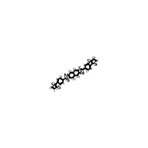 c1cc2sc3cc(-c4nc5cc6cc7sc(-c8ccc9c(c8)sc8ccsc89)nc7cc6cc5s4)ccc3c2s1